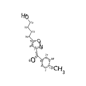 Cc1ccc(C(=O)c2cc(CCCCO)on2)cc1